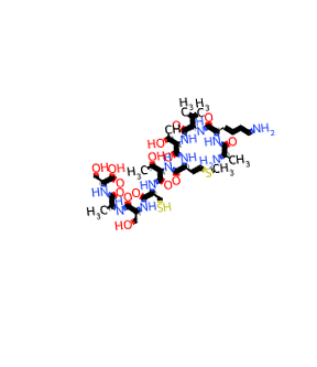 CSCC[C@H](NC(=O)[C@@H](NC(=O)[C@@H](NC(=O)[C@H](CCCCN)NC(=O)[C@H](C)N)C(C)C)[C@@H](C)O)C(=O)N[C@H](C(=O)N[C@@H](CS)C(=O)N[C@@H](CO)C(=O)N[C@@H](C)C(=O)N[C@@H](CO)C(=O)O)[C@@H](C)O